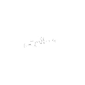 Cc1nn(COCC[Si](C)(C)C)c2c1-c1ccc(Br)cc1CC2